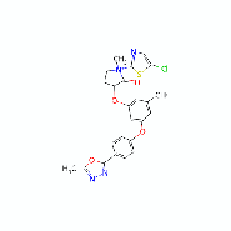 [CH]c1cc(Oc2ccc(-c3nnc(C)o3)cc2)cc(OC2CC[N+](C)(c3ncc(Cl)s3)C2=O)c1